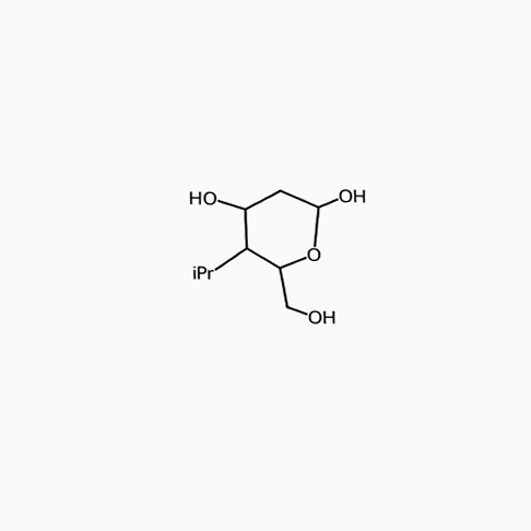 CC(C)C1C(O)CC(O)OC1CO